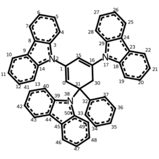 C1=C(n2c3ccccc3c3ccccc32)C=C(n2c3ccccc3c3ccccc32)CC1(c1ccccc1)n1c2ccccc2c2ccccc21